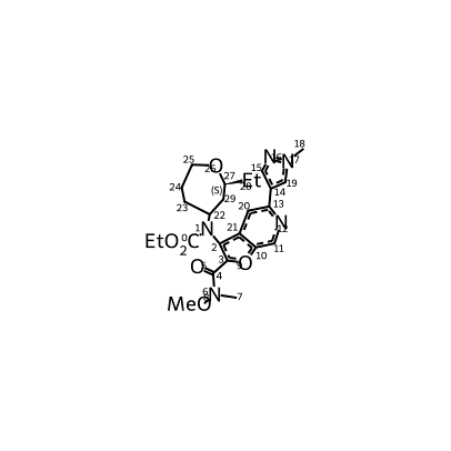 CCOC(=O)N(c1c(C(=O)N(C)OC)oc2cnc(-c3cnn(C)c3)cc12)C1CCCO[C@@H](CC)C1